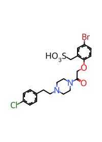 O=C(COc1ccc(Br)cc1CS(=O)(=O)O)N1CCN(CCc2ccc(Cl)cc2)CC1